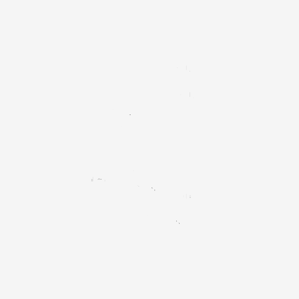 CCCCCc1cc2c(c(O)c1C(=O)N[C@H]1CCCN(C(=O)O)C1C(C)(C)C)C=CC(C)(CCC=C(C)C)O2